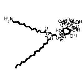 CCCCCCCCCCCCCCCC(=O)O[C@H](COC(=O)CCCCCCCCCCCN)COP(=O)(O)OC1C(O)[C@H](OP(=O)(O)O)C(OP(=O)(O)O)[C@H](O)[C@@H]1O